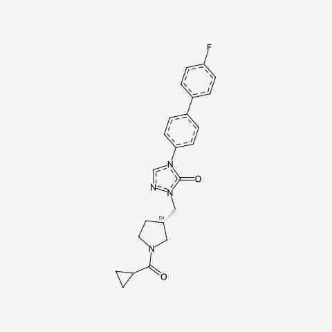 O=C(C1CC1)N1CC[C@H](Cn2ncn(-c3ccc(-c4ccc(F)cc4)cc3)c2=O)C1